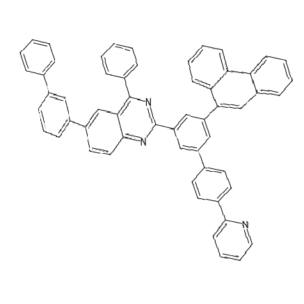 c1ccc(-c2cccc(-c3ccc4nc(-c5cc(-c6ccc(-c7ccccn7)cc6)cc(-c6cc7ccccc7c7ccccc67)c5)nc(-c5ccccc5)c4c3)c2)cc1